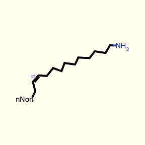 CCCCCCCCCC/C=C\CCCCCCCCCCN